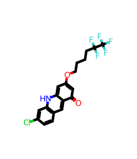 O=c1cc(OCCCCC(F)(F)C(F)(F)F)cc2[nH]c3cc(Cl)ccc3cc1-2